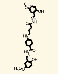 COc1ccc(O)c(/C=N/NC(=O)CCCNc2ccc(C(=O)N/N=C/c3cc(OC)ccc3O)cc2)c1